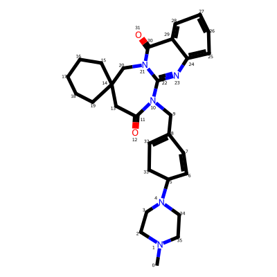 CN1CCN(C2C=CC(CN3C(=O)CC4(CCCCC4)Cn4c3nc3ccccc3c4=O)=CC2)CC1